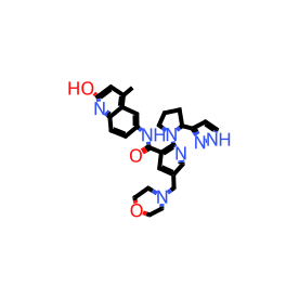 Cc1cc(O)nc2ccc(NC(=O)c3cc(CN4CCOCC4)cnc3N3CCCC3c3cc[nH]n3)cc12